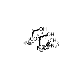 C=C.O=C([O-])CO.O=C([O-])CO.[Na+].[Na+]